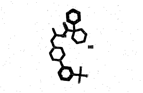 CC(CN1CCN(c2cccc(C(F)(F)F)c2)CC1)NC(=O)C1(c2ccccc2)CCCCC1.Cl